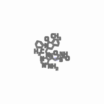 Cc1ccccc1-n1c(CN2N=C(/C=C3/SC(=O)NC3=O)C3C(N)=NC=NC32)cc2cccc(C)c2c1=O